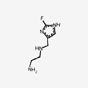 NCCNCc1c[nH]c(F)n1